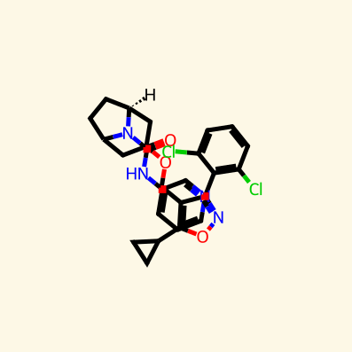 O=C(Nc1cccnc1)N1C2CC[C@H]1CC(OCc1c(-c3c(Cl)cccc3Cl)noc1C1CC1)C2